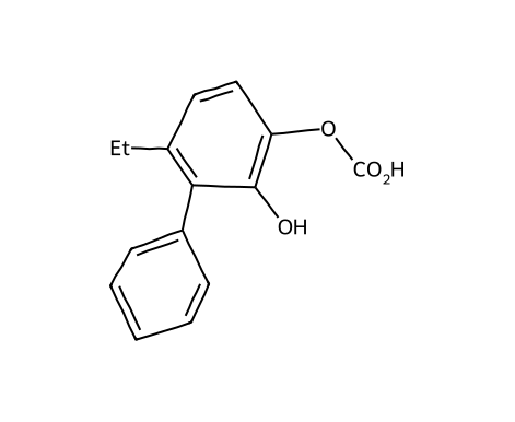 CCc1ccc(OC(=O)O)c(O)c1-c1ccccc1